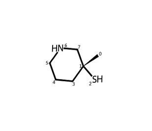 C[C@@]1(S)CCCNC1